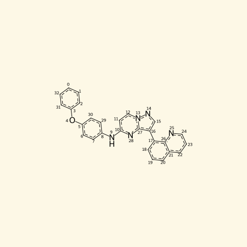 c1ccc(Oc2ccc(Nc3ccn4ncc(-c5cccc6cccnc56)c4n3)cc2)cc1